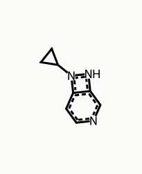 c1cc2c(cn1)[nH]n2C1CC1